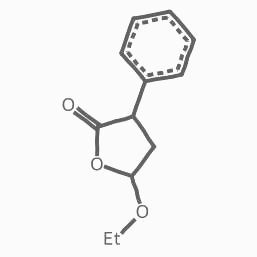 CCOC1CC(c2ccccc2)C(=O)O1